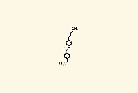 CCCCCc1ccc(OC(=O)c2ccc(CC)cc2)cc1